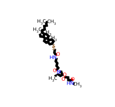 CC[C@@H]1C[C@@H](OC(=O)CCC(=O)NC)CN1C(=O)CCCCCNC(=O)CCSS[C@H]1CC[C@@]2(C)C(=CCC3C2CC[C@@]2(C)C3CC[C@@H]2[C@H](C)CCCC(C)C)C1